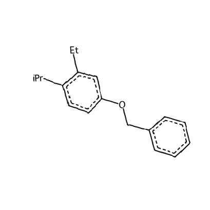 CCc1cc(OCc2ccccc2)ccc1C(C)C